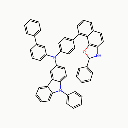 c1ccc(-c2cccc(N(c3ccc(-c4cccc5ccc6c(c45)OC(c4ccccc4)N6)cc3)c3ccc4c(c3)c3ccccc3n4-c3ccccc3)c2)cc1